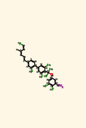 CC(/C=C\F)=C/C=C/c1ccc(-c2cc(F)c(C(F)(F)Oc3cc(F)c(F)c(P)c3)c(F)c2)c(F)c1